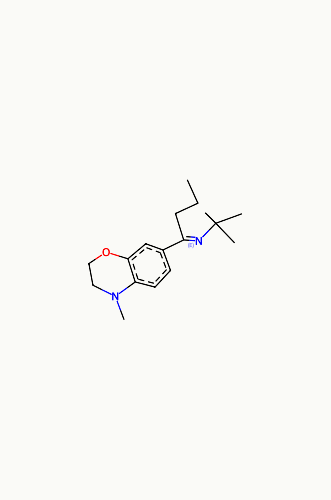 CCC/C(=N\C(C)(C)C)c1ccc2c(c1)OCCN2C